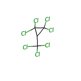 ClC(Cl)(Cl)C1C(Cl)(Cl)C1(Cl)Cl